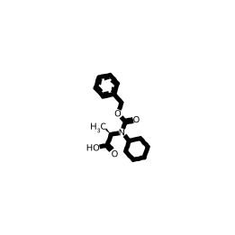 C[C@@H](C(=O)O)N(C(=O)OCc1ccccc1)C1CCCCC1